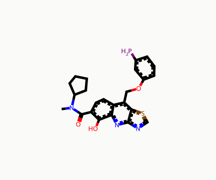 CN(C(=O)c1ccc2c(COc3cccc(P)c3)c3scnc3nc2c1O)C1CCCC1